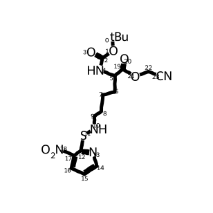 CC(C)(C)OC(=O)NC(CCCCNSc1ncccc1[N+](=O)[O-])C(=O)OCC#N